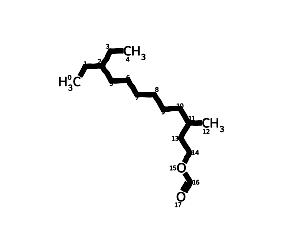 CCC(CC)CCCCCCC(C)CCO[C]=O